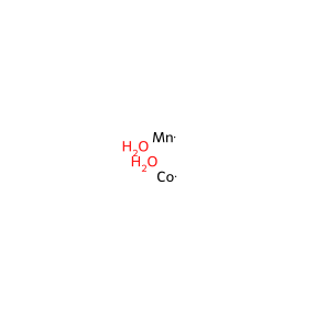 O.O.[Co].[Mn]